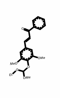 CCOC(OC)Oc1c(OC)cc(C=CC(=O)c2ccccc2)cc1OC